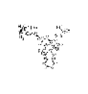 CCN(CC)CCN1C(=O)C(O)(c2ccc3ccccc3c2)c2c1cc(C#CC(O[SiH](C)C)C(C)(C)C)cc2C(F)(F)F